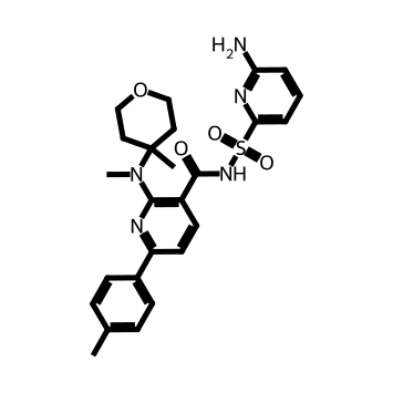 Cc1ccc(-c2ccc(C(=O)NS(=O)(=O)c3cccc(N)n3)c(N(C)C3(C)CCOCC3)n2)cc1